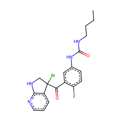 CCCCNC(=O)Nc1ccc(F)c(C(=O)C2(Br)CNc3ncccc32)c1